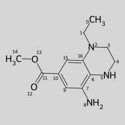 CCN1CCNc2c(N)cc(C(=O)OC)cc21